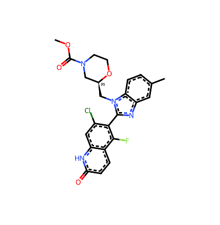 COC(=O)N1CCO[C@@H](Cn2c(-c3c(Cl)cc4[nH]c(=O)ccc4c3F)nc3cc(C)ccc32)C1